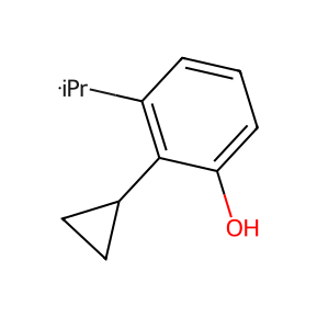 C[C](C)c1cccc(O)c1C1CC1